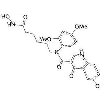 COc1ccc(N(CCCCCC(=O)NO)C(=O)c2c[nH]c3ccc(OC)cc3c2=O)c(OC)c1